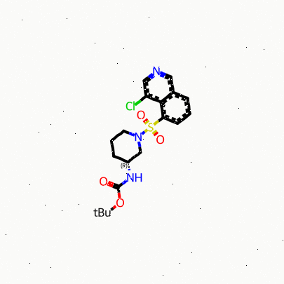 CC(C)(C)OC(=O)N[C@@H]1CCCN(S(=O)(=O)c2cccc3cncc(Cl)c23)C1